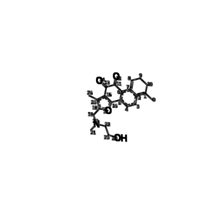 CC1=c2ccc3c(c2=CCC1)C(=O)C(=O)c1c-3oc(CN(C)CCO)c1C